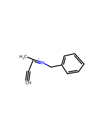 C#C/C(C)=N\Cc1ccccc1